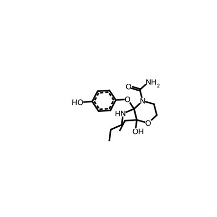 CCCNC1(Oc2ccc(O)cc2)N(C(N)=O)CCOC1(O)CC